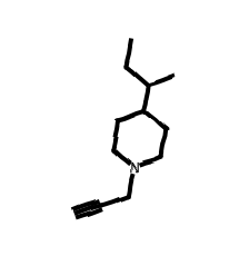 C#CCN1CCC(C(C)CC)CC1